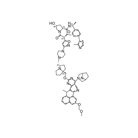 COCOc1cc2c3c(cccc3c1)C(C)c1c-2ncc2c(N3CC4CCC(C3)N4C)nc(OC[C@@]34CCCN3[C@H](CN3CCN(c5cc([C@@H](C(=O)N6C[C@H](O)C[C@H]6C(=O)N[C@@H](C)c6ccc(-c7scnc7C)cc6)C(C)C)on5)CC3)CC4)nc12